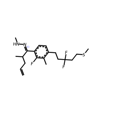 C=CCC(C)/C(=N\NC)c1ccc(CCC(F)(F)CCSC)c(C)c1F